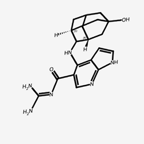 NC(N)=NC(=O)c1cnc2[nH]ccc2c1NC1[C@@H]2CC3C[C@H]1CC(O)(C3)C2